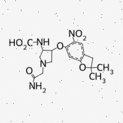 CC1(C)Cc2cc([N+](=O)[O-])c(OC3CN(CC(N)=O)CC3NC(=O)O)cc2O1